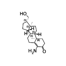 C[C@]12CC[C@H]3[C@@H](CCC4=C(N)C(=O)CC[C@@]43C)[C@@H]1CC[C@@H]2CO